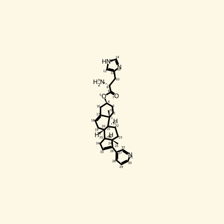 C[C@]12CC[C@H](OC(=O)[C@H](N)Cc3c[nH]cn3)CC1=CC[C@@H]1[C@@H]2CC[C@]2(C)C(c3cccnc3)=CC[C@@H]12